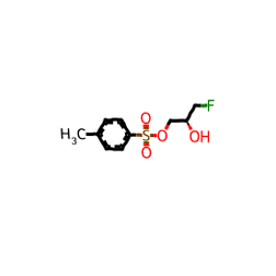 Cc1ccc(S(=O)(=O)OC[C@H](O)CF)cc1